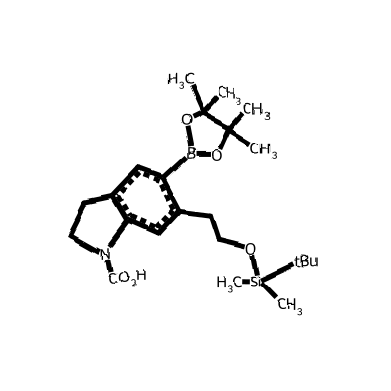 CC1(C)OB(c2cc3c(cc2CCO[Si](C)(C)C(C)(C)C)N(C(=O)O)CC3)OC1(C)C